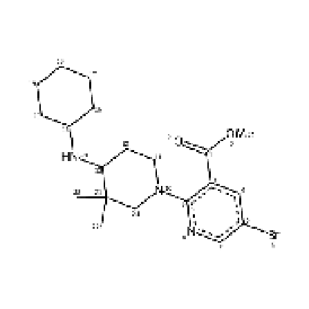 COC(=O)c1cc(Br)cnc1N1CCC(NC2CCCCC2)C(C)(C)C1